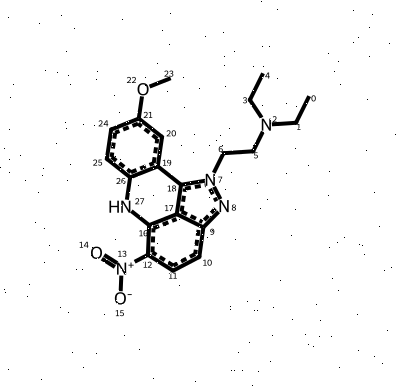 CCN(CC)CCn1nc2ccc([N+](=O)[O-])c3c2c1-c1cc(OC)ccc1N3